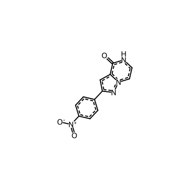 O=c1[nH]ccn2nc(-c3ccc([N+](=O)[O-])cc3)cc12